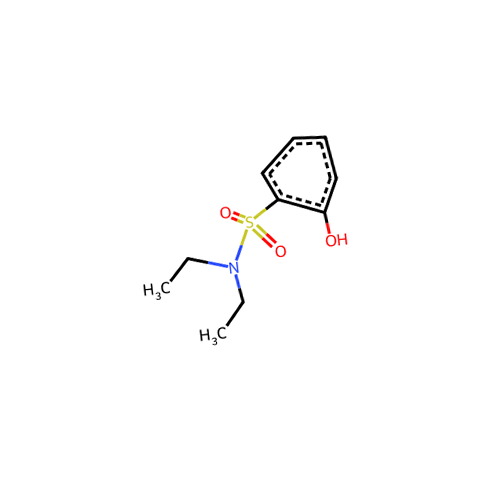 CCN(CC)S(=O)(=O)c1ccccc1O